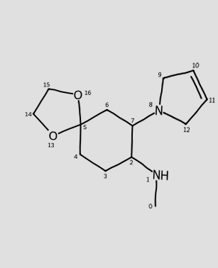 CNC1CCC2(CC1N1CC=CC1)OCCO2